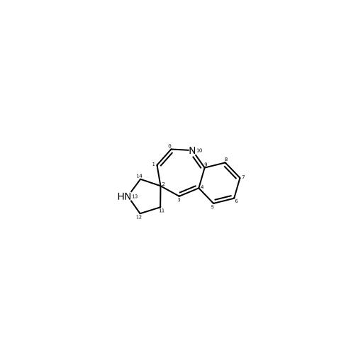 C1=CC2(C=c3ccccc3=N1)CCNC2